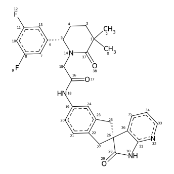 CC1(C)CC[C@@H](c2cc(F)cc(F)c2)N(CC(=O)Nc2ccc3c(c2)C[C@@]2(C3)C(=O)Nc3ncccc32)C1=O